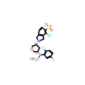 CS(=O)(=O)c1ccc2c(c1Cl)CN([C@H]1COC[C@@H](N(C(=O)O)c3cc(F)ccc3F)C1)C2